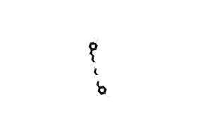 Nc1ccc(CCNCCCNCCCC(=O)c2ccc(N)cc2)cc1